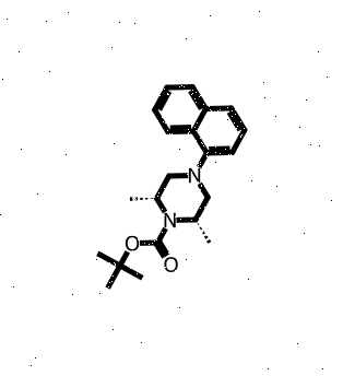 C[C@@H]1CN(c2cccc3ccccc23)C[C@H](C)N1C(=O)OC(C)(C)C